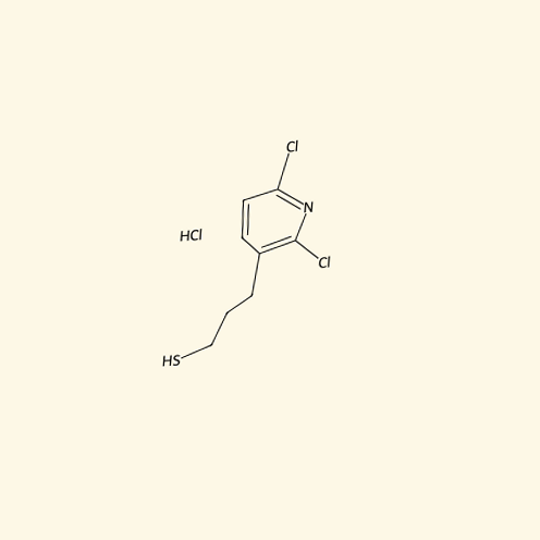 Cl.SCCCc1ccc(Cl)nc1Cl